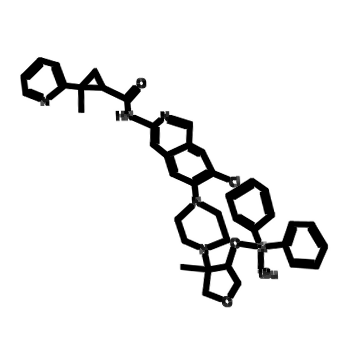 CC1(c2ccccn2)CC1C(=O)Nc1cc2cc(N3CCN(C4(C)COCC4O[Si](c4ccccc4)(c4ccccc4)C(C)(C)C)CC3)c(Cl)cc2cn1